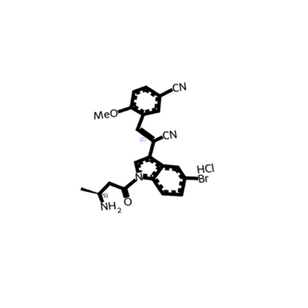 COc1ccc(C#N)cc1/C=C(\C#N)c1cn(C(=O)C[C@H](C)N)c2ccc(Br)cc12.Cl